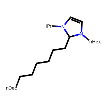 CCCCCCCCCCCCCCCCC1N(CCCCCC)C=CN1C(C)C